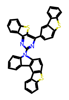 c1ccc2c(c1)sc1ccc(-c3nc(-n4c5ccccc5c5c6c(ccc54)sc4ccccc46)nc4c3sc3ccccc34)cc12